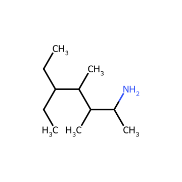 CCC(CC)C(C)C(C)C(C)N